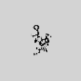 CC1=C2[C@@H](CC1)[C@]1(C)O[C@@](C(C)C)(C[C@H]1OC(=O)CO)[C@H]2OC(=O)C(C)Cc1ccccc1